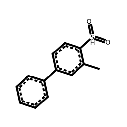 Cc1cc(-c2ccccc2)[c]cc1[SH](=O)=O